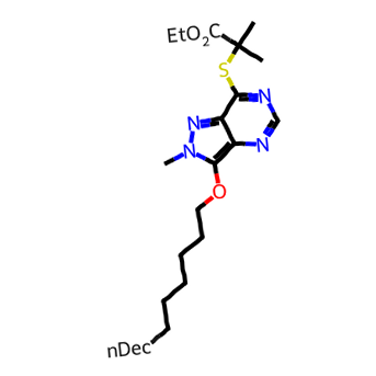 CCCCCCCCCCCCCCCCOc1c2ncnc(SC(C)(C)C(=O)OCC)c2nn1C